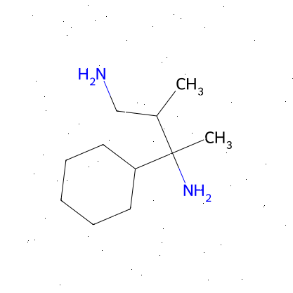 CC(CN)C(C)(N)C1CCCCC1